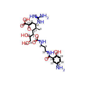 C[C@H]1[C@H]([C@H](OC(=O)NCCCNC(=O)c2cc(N)ccc2O)[C@H](O)CO)OC(C(=O)O)=C[C@@H]1NC(=N)N